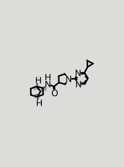 O=C(N[C@@H]1C[C@@H]2CC[C@H]1C2)C1CCN(c2nccc(C3CC3)n2)C1